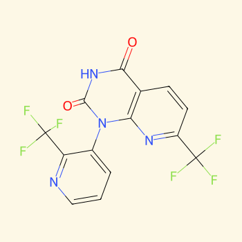 O=c1[nH]c(=O)n(-c2cccnc2C(F)(F)F)c2nc(C(F)(F)F)ccc12